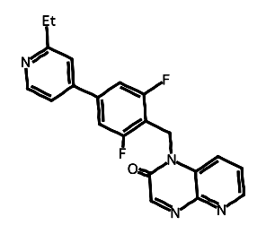 CCc1cc(-c2cc(F)c(Cn3c(=O)cnc4ncccc43)c(F)c2)ccn1